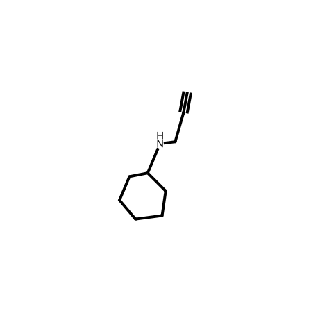 C#CCNC1CCCCC1